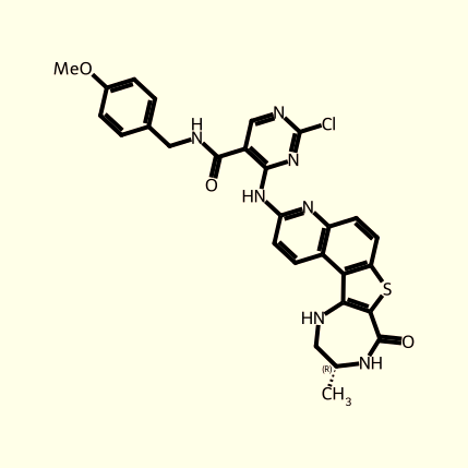 COc1ccc(CNC(=O)c2cnc(Cl)nc2Nc2ccc3c(ccc4sc5c(c43)NC[C@@H](C)NC5=O)n2)cc1